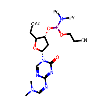 CC(=O)OCC1O[C@@H](n2cnc(/N=C\N(C)C)nc2=O)C[C@H]1OP(OCCC#N)N(C(C)C)C(C)C